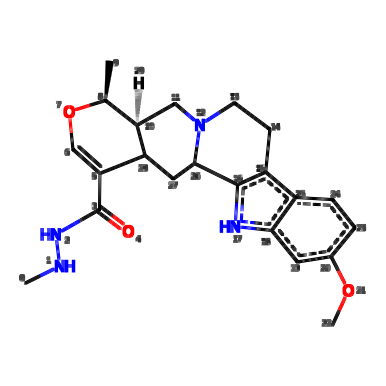 CNNC(=O)C1=CO[C@@H](C)[C@H]2CN3CCc4c([nH]c5cc(OC)ccc45)C3CC12